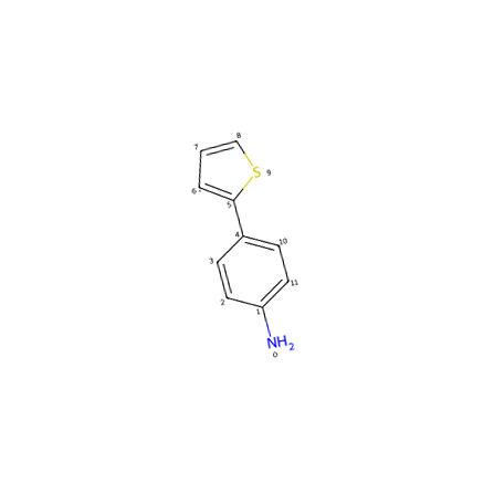 Nc1ccc(-c2[c]ccs2)cc1